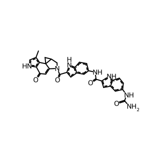 Cc1c[nH]c2c1C13CC1CN(C(=O)c1cc4cc(NC(=O)c5cc6cc(NC(N)=O)ccc6[nH]5)ccc4[nH]1)C3=CC2=O